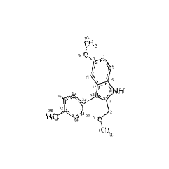 COCc1[nH]c2ccc(OC)cc2c1-c1ccc(O)cc1